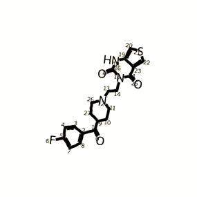 O=C(c1ccc(F)cc1)C1CCN(CCn2c(=O)[nH]c3cscc3c2=O)CC1